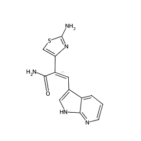 NC(=O)/C(=C\c1c[nH]c2ncccc12)c1csc(N)n1